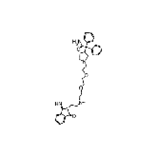 CN(CCOCCOCCN1CCC(C(C(N)=O)(c2ccccc2)c2ccccc2)C1)CCN1C(=N)c2ccccc2C1=O